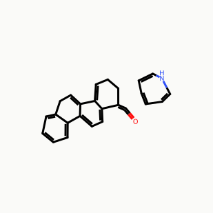 C1=CC=CNC=C1.O=C=C1CCC=c2c1ccc1c2=CCc2ccccc2-1